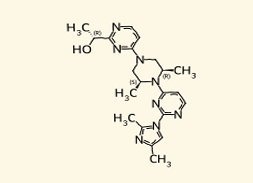 Cc1cn(-c2nccc(N3[C@H](C)CN(c4ccnc([C@@H](C)O)n4)C[C@@H]3C)n2)c(C)n1